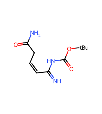 CC(C)(C)OC(=O)NC(=N)/C=C\CC(N)=O